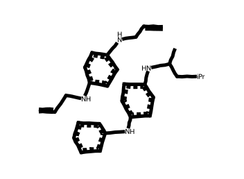 C=CCNc1ccc(NCC=C)cc1.CC(C)CC(C)Nc1ccc(Nc2ccccc2)cc1